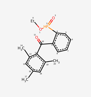 CCO[PH](=O)c1ccccc1C(=O)c1c(C)cc(C)cc1C